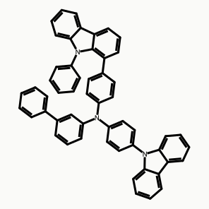 c1ccc(-c2cccc(N(c3ccc(-c4cccc5c6ccccc6n(-c6ccccc6)c45)cc3)c3ccc(-n4c5ccccc5c5ccccc54)cc3)c2)cc1